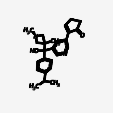 CC(C)c1ccc(C(O)(c2cncc(C3=CCCC3=O)c2)C2(C)CN(C)C2)cc1